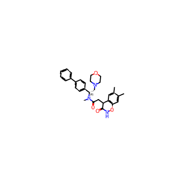 Cc1cc2c(cc1C)C(CC(=O)N(C)[C@@H](CN1CCOCC1)c1ccc(-c3ccccc3)cc1)C(=O)NO2